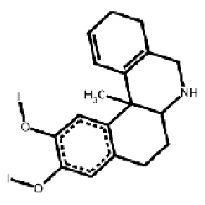 CC12C3=C(CCC=C3)CNC1CCc1cc(OI)c(OI)cc12